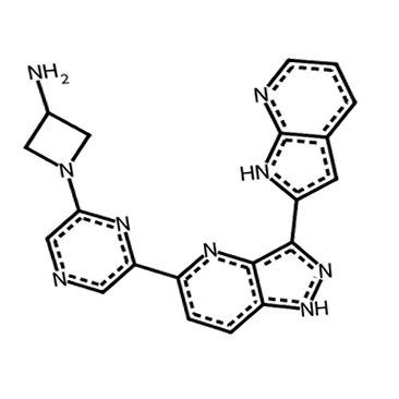 NC1CN(c2cncc(-c3ccc4[nH]nc(-c5cc6cccnc6[nH]5)c4n3)n2)C1